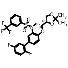 CC1(C)OC[C@H]([C@H]2CN(S(=O)(=O)c3cccc(C(F)(F)F)c3)c3cc(-c4cc(F)ccc4F)ccc3O2)O1